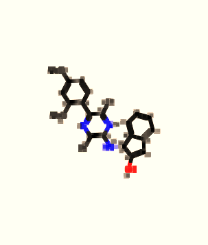 CCc1nc(-c2ccc(OC)cc2OC)c(CC)nc1N[C@H]1C(O)=Cc2ccccc21